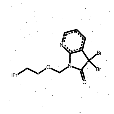 CC(C)CCOCN1C(=O)C(Br)(Br)c2cccnc21